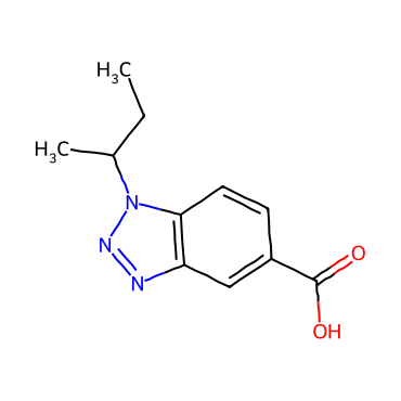 CCC(C)n1nnc2cc(C(=O)O)ccc21